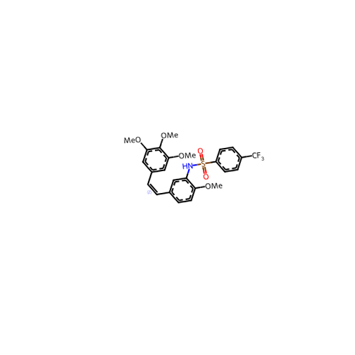 COc1ccc(/C=C\c2cc(OC)c(OC)c(OC)c2)cc1NS(=O)(=O)c1ccc(C(F)(F)F)cc1